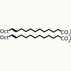 CCCCCCCCC=CCCCCCCCCCC(=O)O.CCCCCCCCC=CCCCCCCCCCC(=O)O